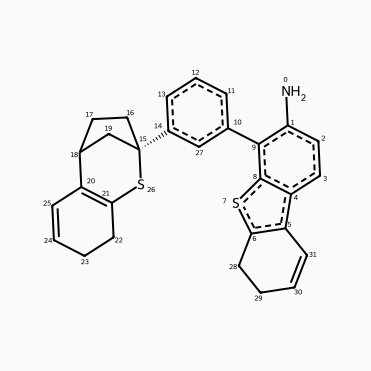 Nc1ccc2c3c(sc2c1-c1cccc([C@@]24CCC(C2)C2=C(CCC=C2)S4)c1)CCC=C3